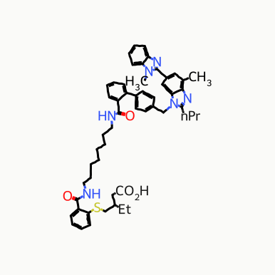 CCCc1nc2c(C)cc(-c3nc4ccccc4n3C)cc2n1Cc1ccc(-c2ccccc2C(=O)NCCCCCCCCNC(=O)c2ccccc2SCC(CC)CC(=O)O)cc1